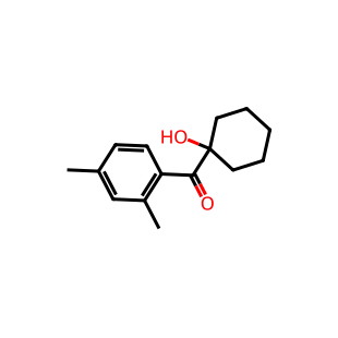 Cc1ccc(C(=O)C2(O)CCCCC2)c(C)c1